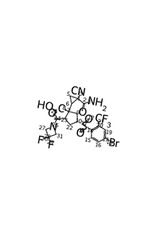 N#CC1(C(N)=O)CC1[C@]1(C(=O)O)C[C@H](S(=O)(=O)c2ccc(Br)cc2C(F)(F)F)C[C@H]1C(=O)N1CC(F)(F)C1